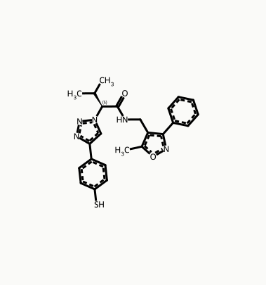 Cc1onc(-c2ccccc2)c1CNC(=O)[C@H](C(C)C)n1cc(-c2ccc(S)cc2)nn1